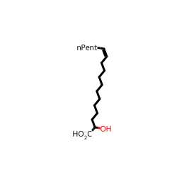 CCCCC/C=C\CCCCCCCCCC(O)C(=O)O